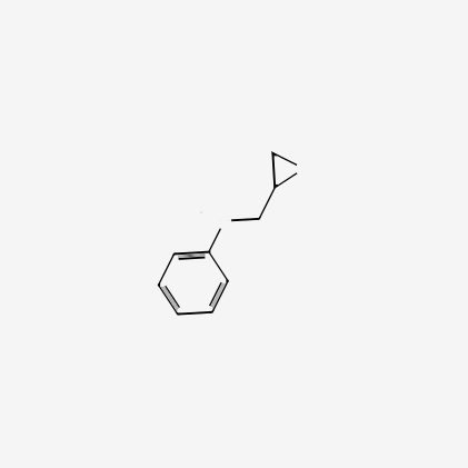 C.c1ccc(OCC2CO2)cc1